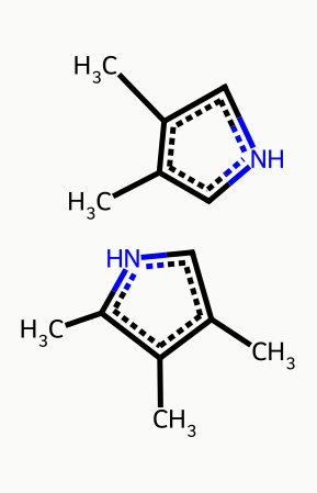 Cc1c[nH]c(C)c1C.Cc1c[nH]cc1C